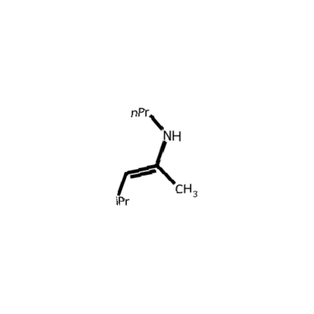 CCCNC(C)=CC(C)C